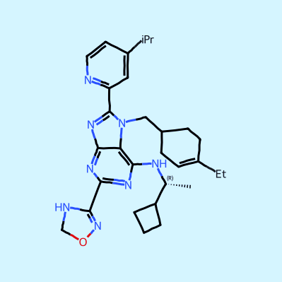 CCC1=CCC(Cn2c(-c3cc(C(C)C)ccn3)nc3nc(C4=NOCN4)nc(N[C@H](C)C4CCC4)c32)CC1